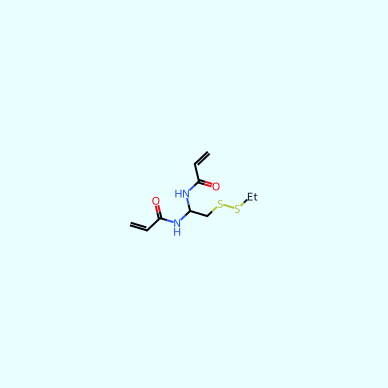 C=CC(=O)NC(CSSCC)NC(=O)C=C